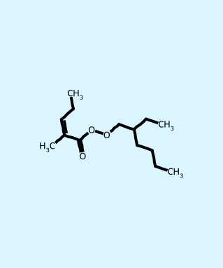 CCC=C(C)C(=O)OOCC(CC)CCCC